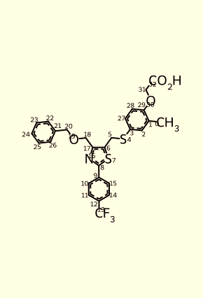 Cc1cc(SCc2sc(-c3ccc(C(F)(F)F)cc3)nc2COCc2ccccc2)ccc1OCC(=O)O